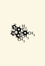 Cc1cc(C)c(-n2c3ccccc3c3c(N4CCC[C@H]4CN4CCCC4)cc(C)nc32)c(C)c1